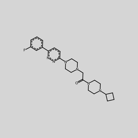 O=C(CN1CCN(c2ccc(-c3cccc(F)c3)nn2)CC1)N1CCN(C2CCC2)CC1